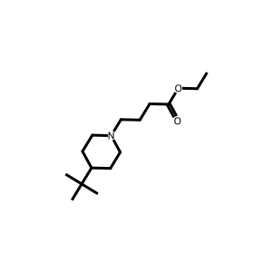 CCOC(=O)CCCN1CCC(C(C)(C)C)CC1